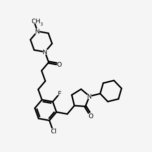 CN1CCN(C(=O)CCCc2ccc(Cl)c(CC3CCN(C4CCCCC4)C3=O)c2F)CC1